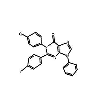 O=c1c2ncn(-c3ccccc3)c2nc(-c2ccc(I)cc2)n1-c1ccc(Cl)cc1